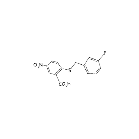 O=C(O)c1cc([N+](=O)[O-])ccc1SCc1cccc(F)c1